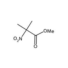 COC(=O)C(C)(C)[N+](=O)[O-]